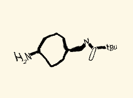 CC(C)(C)ON=C1CCC(N)CC1